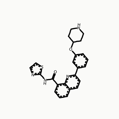 O=C(Nc1nccs1)c1cccc2ccc(-c3cccc(OC4CCNCC4)c3)nc12